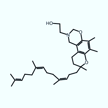 CC(C)=CCCC(C)=CCCC(C)=CCCC1(C)CCc2c3c(c(C)c(C)c2O1)OCN(CCO)C3